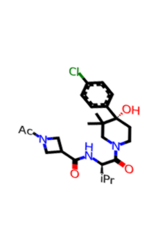 CC(=O)N1CC(C(=O)N[C@@H](C(=O)N2CC[C@](O)(c3ccc(Cl)cc3)C(C)(C)C2)C(C)C)C1